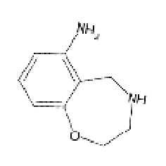 Nc1cccc2c1CNCCO2